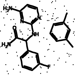 Cc1cccc(C)c1.NC(=O)C(Nc1nccc(N)n1)c1cccc(F)c1